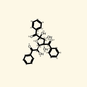 O=C(c1ccccc1)C(O)[C@H]1OC(O)(C(=O)c2ccccc2)[C@H](O)[C@@]1(O)C(=O)c1ccccc1